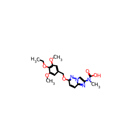 CCOc1c(OC)cc(COc2ccc3nc(N(C)C(=O)O)cn3n2)cc1OC